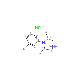 Cc1cccc(N2C(C)CNCC2C)c1.Cl